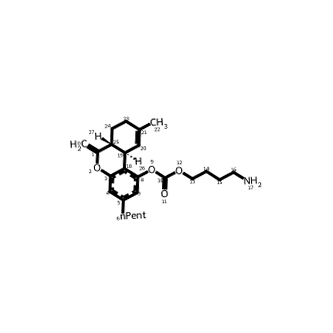 C=C1Oc2cc(CCCCC)cc(OC(=O)OCCCCN)c2[C@@H]2C=C(C)CC[C@@H]12